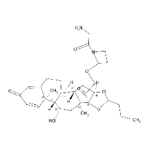 CCCC1O[C@@H]2C[C@H]3[C@@H]4CCC5=CC(=O)C=C[C@]5(C)[C@H]4[C@@H](O)C[C@]3(C)[C@]2(C(=O)COC2CCN2C(=O)CN)O1